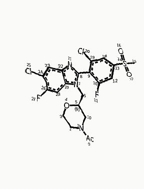 CC(=O)N1CCO[C@@H](Cn2c(-c3c(F)cc(S(C)(=O)=O)cc3Cl)nc3cc(Cl)c(F)cc32)C1